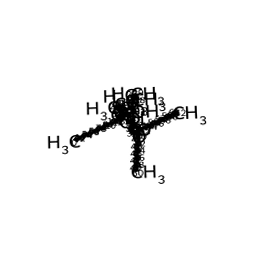 CCCCCCCCCCCCCC(=O)N[C@H]1C(O[SiH](C)C)O[C@H](COC(C)(C)C)[C@@H](O)[C@@H]1OC(=O)c1ccc(OCCCCCCCCCC)c(OCCCCCCCCCC)c1